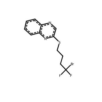 FC(F)(Br)CCCSc1cnc2ccccc2n1